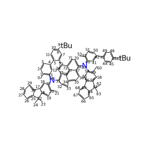 Cc1ccc(-c2ccc(C(C)(C)C)cc2)cc1N(c1cc2c(cc1C)C(C)(C)c1ccccc1-2)c1ccc2ccc3c(N(c4cc(-c5ccc(C(C)(C)C)cc5)ccc4C)c4cc5c(cc4C)C(C)(C)c4ccccc4-5)ccc4ccc1c2c43